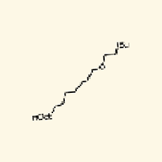 CCCCCCCCCCCCCCCOCCC(C)(C)C